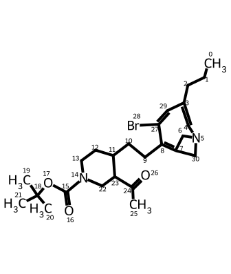 CCCC1=C\N2CC(=C(CCC3CCN(C(=O)OC(C)(C)C)CC3C(C)=O)/C(Br)=C\1)C2